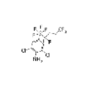 Nc1c(Cl)cc(S(F)(F)(F)(F)C(F)(F)CCC(F)(F)F)cc1Cl